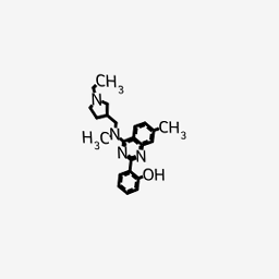 CCN1CCC(CN(C)c2nc(-c3ccccc3O)nc3cc(C)ccc23)C1